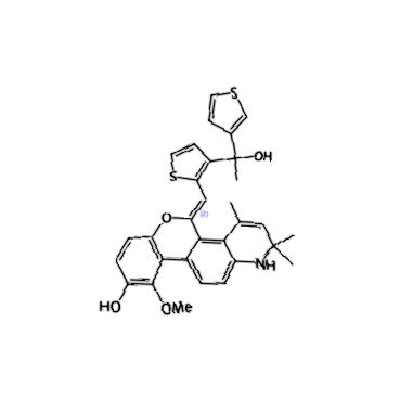 COc1c(O)ccc2c1-c1ccc3c(c1/C(=C/c1sccc1C(C)(O)c1ccsc1)O2)C(C)=CC(C)(C)N3